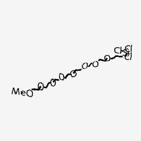 COCCOCCOCCOCCOCCOCCOCCOCCC[Si](Cl)(Cl)Cl